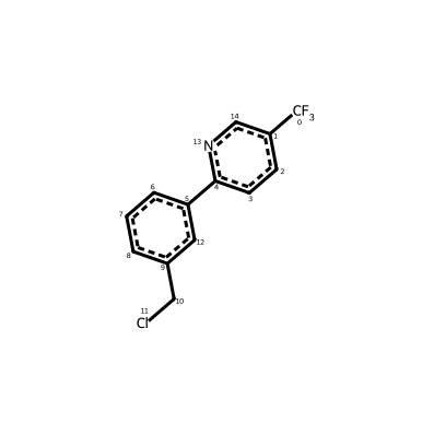 FC(F)(F)c1ccc(-c2cccc(CCl)c2)nc1